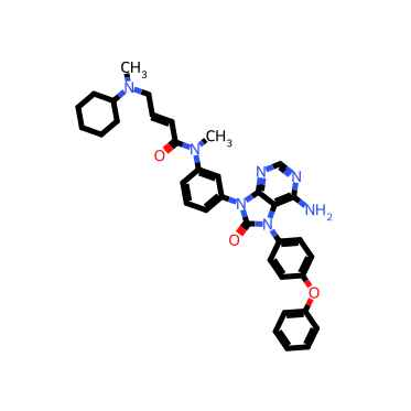 CN(C(=O)/C=C/CN(C)C1CCCCC1)c1cccc(-n2c(=O)n(-c3ccc(Oc4ccccc4)cc3)c3c(N)ncnc32)c1